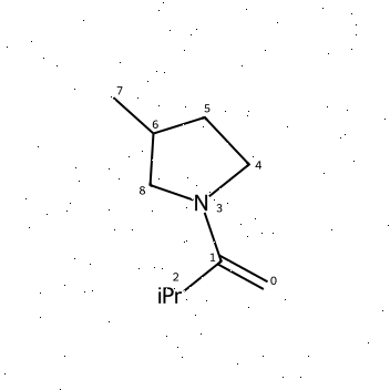 C=C(C(C)C)N1CCC(C)C1